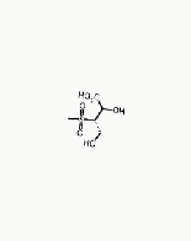 CS(=O)(=O)[C@@H](CO)C(O)C(=O)O